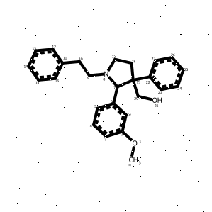 COc1cccc(C2N(CCc3ccccc3)CCC2(CO)c2ccccc2)c1